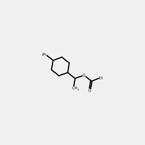 CCC(=O)OC(C)C1CCC(C(C)C)CC1